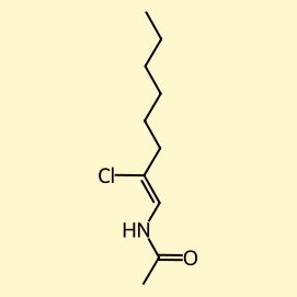 CCCCCC/C(Cl)=C/NC(C)=O